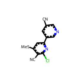 CSc1cc(-c2cncc(C#N)c2)nc(Cl)c1C#N